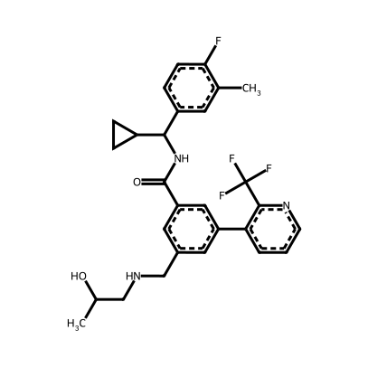 Cc1cc(C(NC(=O)c2cc(CNCC(C)O)cc(-c3cccnc3C(F)(F)F)c2)C2CC2)ccc1F